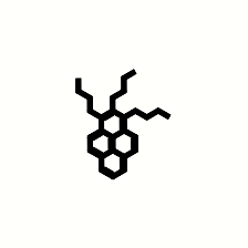 CCCCc1c(CCCC)c2ccc3cccc4ccc(c1CCCC)c2c34